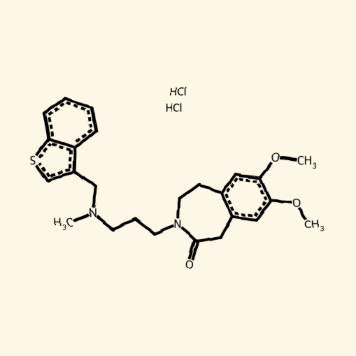 COc1cc2c(cc1OC)CC(=O)N(CCCN(C)Cc1csc3ccccc13)CC2.Cl.Cl